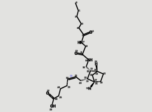 CCCCCC(=O)NCC(=O)NC[C@@H]1[C@@H]2CC[C@@H](C2)[C@@H]1C/C=C\CCCC(=O)O